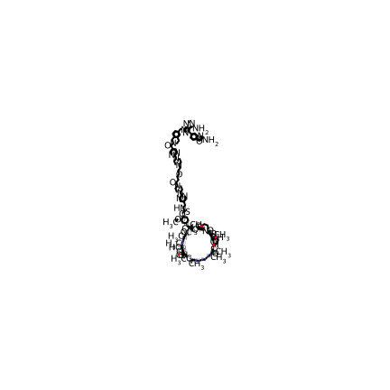 CO[C@H]1C[C@@H]2CC[C@@H](C)[C@@](O)(O2)C(=O)C(=O)N2CCCC[C@H]2C(=O)O[C@H]([C@H](C)C[C@@H]2CC[C@@H](OC(=S)NCc3cnc(N4CCN(C(=O)CCOCCN5CCN(c6ncc(C(=O)N7CCc8cc(Cn9nc(-c%10ccc%11oc(N)nc%11c%10)c%10c(N)ncnc%109)ccc8C7)cn6)CC5)CC4)nc3)[C@H](OC)C2)C[C@@H](OC)[C@H](C)/C=C(\C)[C@@H](O)[C@@H](OC)C(=O)[C@H](C)C[C@H](C)/C=C/C=C/C=C/1C